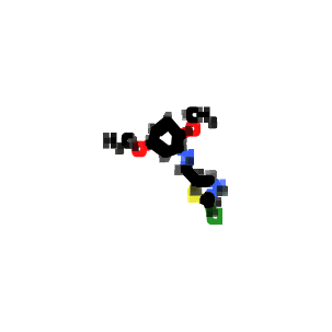 COc1ccc(OC)c(/N=C/c2cnc(Cl)s2)c1